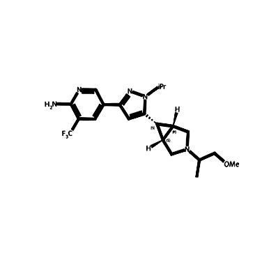 COCC(C)N1C[C@@H]2[C@H](C1)[C@@H]2c1cc(-c2cnc(N)c(C(F)(F)F)c2)nn1C(C)C